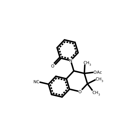 CC(=O)OC1(C)C(n2ccccc2=O)c2cc(C#N)ccc2OC1(C)C